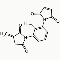 C=C1CC(=O)N(c2cccc(N3C(=O)C=CC3=O)c2C)C1=O